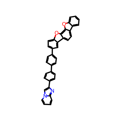 c1ccc2c(c1)oc1c2ccc2c3cc(-c4ccc(-c5ccc(-c6cn7ccccc7n6)cc5)cc4)ccc3oc21